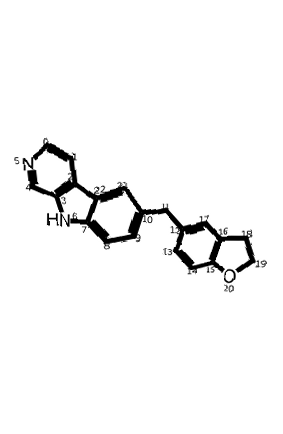 c1cc2c(cn1)[nH]c1ccc(Cc3ccc4c(c3)CCO4)cc12